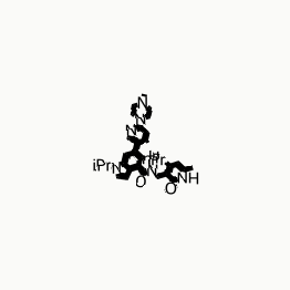 CCCc1cc(C)[nH]c(=O)c1CNC(=O)c1cc(-c2ccc(N3CCN(C)CC3)nc2)cc2c1ccn2C(C)C